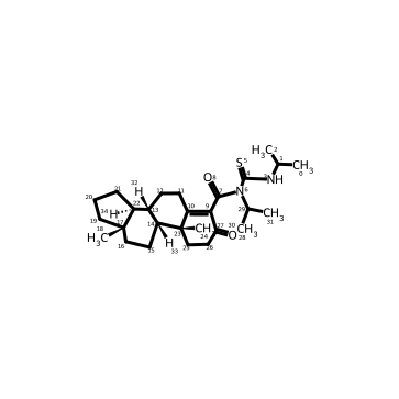 CC(C)NC(=S)N(C(=O)C1=C2CC[C@@H]3[C@@H](CC[C@]4(C)CCC[C@@H]34)[C@@]2(C)CCC1=O)C(C)C